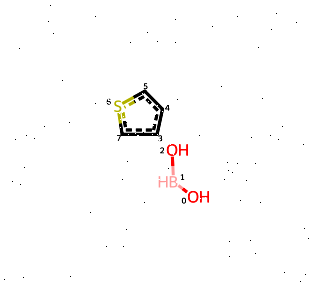 OBO.c1ccsc1